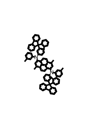 Cc1cccc(N(c2cccc(C3(c4ccccc4C)c4ccccc4-c4ccccc43)c2)c2cc(C)c3ccc4c(N(c5cccc(C)c5)c5cccc(C6(c7ccccc7C)c7ccccc7-c7ccccc76)c5)cc(C)c5ccc2c3c54)c1